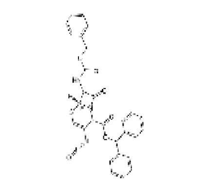 O=C=NC1=CS[C@@H]2C(NC(=O)OCc3ccccc3)C(=O)N2C1C(=O)OC(c1ccccc1)c1ccccc1